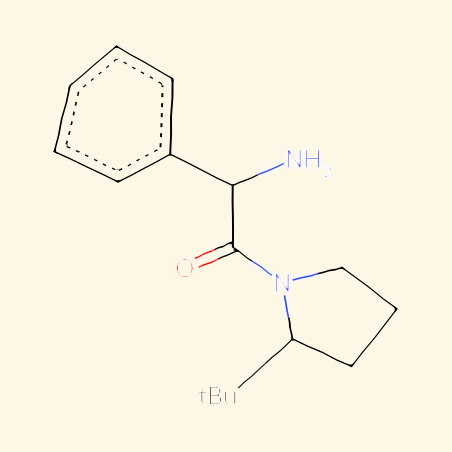 CC(C)(C)C1CCCN1C(=O)C(N)c1ccccc1